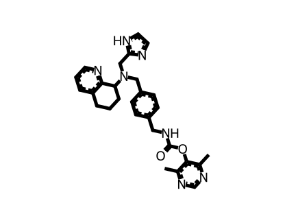 Cc1ncnc(C)c1OC(=O)NCc1ccc(CN(Cc2ncc[nH]2)C2CCCc3cccnc32)cc1